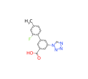 Cc1ccc(-c2cc(C(=O)O)cc(-n3cnnn3)c2)c(F)c1